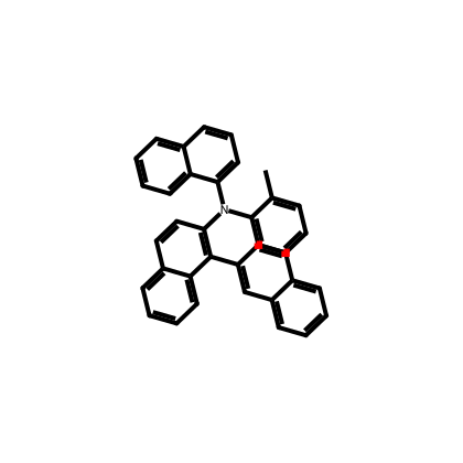 Cc1ccccc1N(c1ccc2ccccc2c1-c1ccc2ccccc2c1)c1cccc2ccccc12